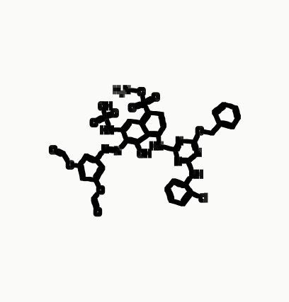 NOS(=O)(=O)c1ccc(Nc2nc(Nc3ccccc3Cl)nc(OCc3ccccc3)n2)c2c(O)c(N=Nc3cc(OC=O)cc(OC=O)c3)c(NS(=O)(=O)O)cc12